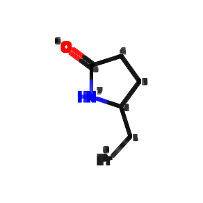 CC(C)CC1CCC(=O)N1